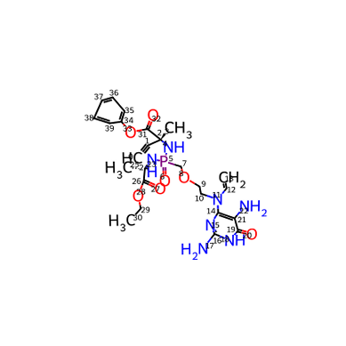 C#C[C@@](C)(NP(=O)(COCCN(C=C)c1nc(N)[nH]c(=O)c1N)N[C@@H](C)C(=O)OCC)C(=O)Oc1ccccc1